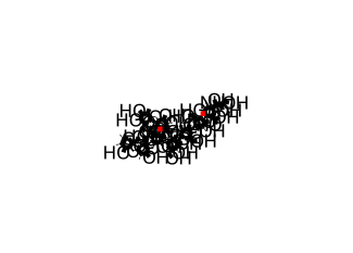 CC1C(O)[C@H](O)[C@H](CO)O[C@H]1O[C@@H]1C(O)[C@H](O)C(CO)O[C@@H]1OCC1O[C@@H](O[C@@H]2C(CO)O[C@@H](O[C@@H]3C(CO)O[C@@H](C)[C@@H](C)C3O)[C@@H](C)C2O)[C@H](O)C(O[C@H]2O[C@H](CO)[C@@H](O)C(O)C2O[C@@H]2OC(CO)[C@H](O[C@@H]3OC(CO)[C@H](C)C(O[C@]4(C(=O)O)C[C@@H](O)[C@@H](N)C(C(O)C(O)CO)O4)[C@@H]3O)C(O)[C@@H]2C)[C@@H]1O